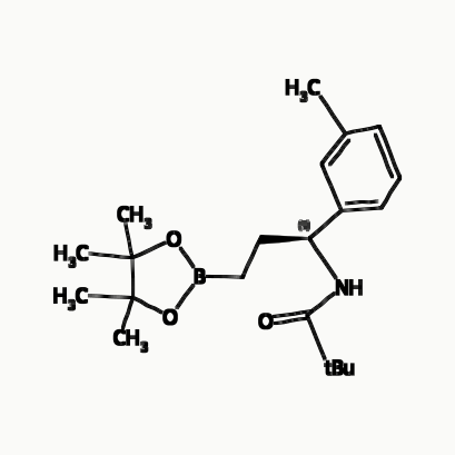 Cc1cccc([C@H](CCB2OC(C)(C)C(C)(C)O2)NC(=O)C(C)(C)C)c1